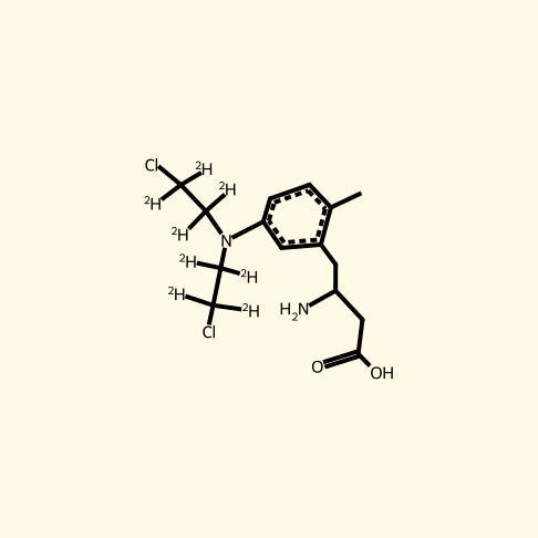 [2H]C([2H])(Cl)C([2H])([2H])N(c1ccc(C)c(CC(N)CC(=O)O)c1)C([2H])([2H])C([2H])([2H])Cl